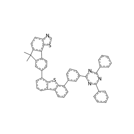 CC1(C)c2cc(-c3cccc4c3sc3c(-c5cccc(-c6nc(-c7ccccc7)nc(-c7ccccc7)n6)c5)cccc34)ccc2-c2c1ccc1ncsc21